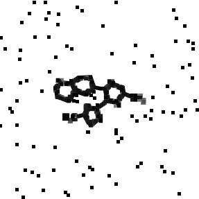 Cc1cnc(-c2nc(N)cnc2-c2ccc3ncccc3c2)o1